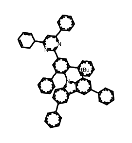 CC(C)(C)c1cc(-c2ccccc2)cc2c3cc(-c4ccccc4)ccc3n(-c3c(-c4ccccc4)cc(-c4nc(-c5ccccc5)cc(C5C=CC=CC5)n4)cc3-c3ccccc3)c12